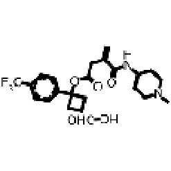 C=C(CC(=O)OC1(c2ccc(C(F)(F)F)cc2)CCC1)C(=O)NC1CCN(C)CC1.O=CO